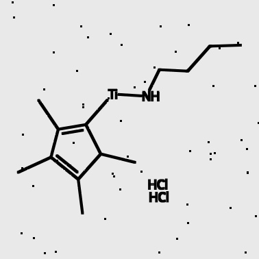 CCCC[NH][Ti][C]1=C(C)C(C)=C(C)C1C.Cl.Cl